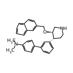 CN(C)c1ccc(-c2cccc([C@H]3CCNC[C@@H]3OCc3ccc4ccccc4c3)c2)cc1